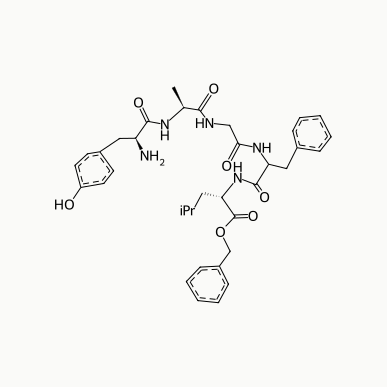 CC(C)C[C@H](NC(=O)C(Cc1ccccc1)NC(=O)CNC(=O)[C@H](C)NC(=O)[C@@H](N)Cc1ccc(O)cc1)C(=O)OCc1ccccc1